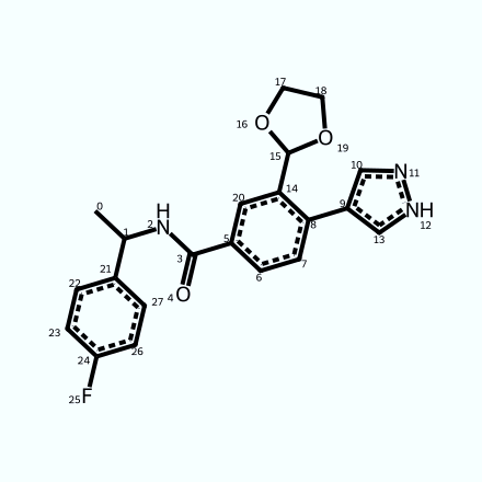 CC(NC(=O)c1ccc(-c2cn[nH]c2)c(C2OCCO2)c1)c1ccc(F)cc1